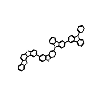 C1=CCCC(n2c3ccccc3c3cc(-c4ccc5c(c4)c4ccccc4n5C4=Cc5c(sc6ccc(-c7ccc8oc9ccc%10c%11ccccc%11oc%10c9c8c7)cc56)CC4)ccc32)=C1